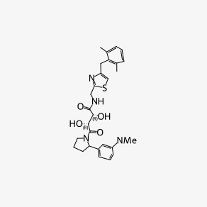 CNc1cccc(C2CCCN2C(=O)[C@H](O)[C@@H](O)C(=O)NCc2nc(Cc3c(C)cccc3C)cs2)c1